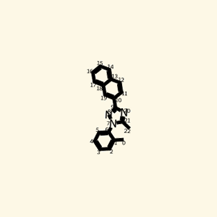 Cc1ccccc1-n1nc(-c2ccc3ccccc3c2)nc1C